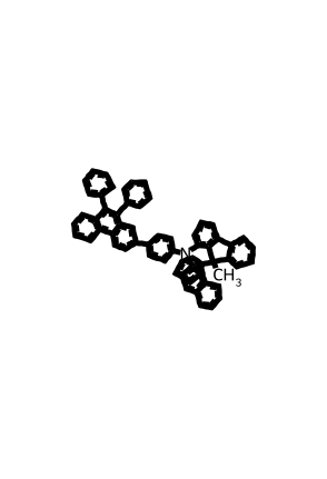 CC1(c2ccccc2)c2ccccc2-c2cccc(N(c3ccc(-c4ccc5c(c4)c(-c4ccccc4)c(-c4ccccc4)c4ccccc45)cc3)c3ccc4ccccc4c3)c21